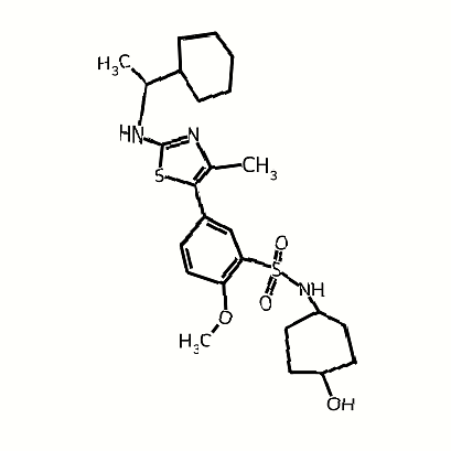 COc1ccc(-c2sc(NC(C)C3CCCCC3)nc2C)cc1S(=O)(=O)NC1CCC(O)CC1